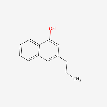 CCCc1cc(O)c2ccccc2c1